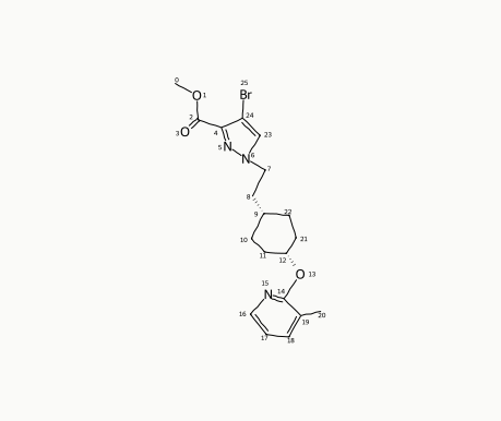 COC(=O)c1nn(CC[C@H]2CC[C@@H](Oc3ncccc3C)CC2)cc1Br